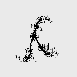 C=C(C)C(=C)OCCOC(=O)NCCCCCCN=c1oc(=O)n(CCCCCCNC(=O)OCCOC(=O)C(=C)C)c(=O)n1CCCCCCNC(=O)OCCOC(=C)C(=C)C